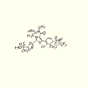 CCCC[C@H](C)N(C)C(=O)c1nc(-c2nnc(C(C)(C)O)o2)sc1-c1ccc(S(=O)(=O)N[C@@H](C)C(F)(F)F)c(Cl)c1Cl